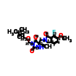 C#C[C@]1(CN2Cc3ccc(OC)c(F)c3C2=O)NC(=O)N(COCC[Si](C)(C)C)C1=O